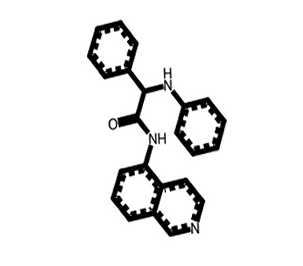 O=C(Nc1cccc2cnccc12)C(Nc1ccccc1)c1ccccc1